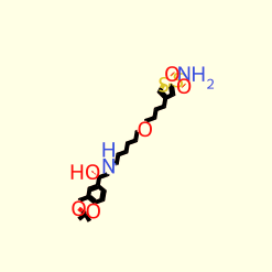 CC1(C)OCc2cc([C@H](O)CNCCCCCCOCCCCc3csc(S(N)(=O)=O)c3)ccc2O1